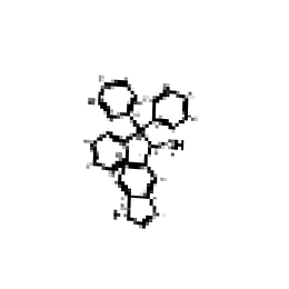 OC(c1ccc2[nH]cnc2c1)C(c1ccccc1)(c1ccccc1)c1ccccc1